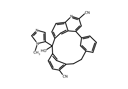 Cn1cncc1C1(O)c2ccc(C#N)c(c2)CCc2cccc(c2)-c2cc(C#N)nc3ccc1cc23